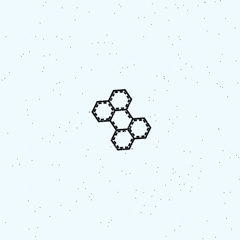 [c]1cc2cccc3c4cccc5[c]ccc(c(c1)c23)c54